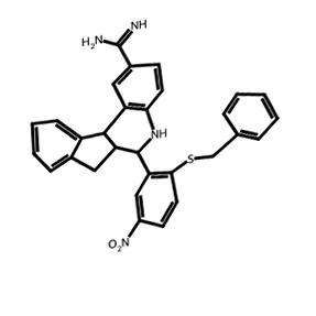 N=C(N)c1ccc2c(c1)C1c3ccccc3CC1C(c1cc([N+](=O)[O-])ccc1SCc1ccccc1)N2